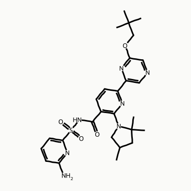 CC1CN(c2nc(-c3cncc(OCC(C)(C)C)n3)ccc2C(=O)NS(=O)(=O)c2cccc(N)n2)C(C)(C)C1